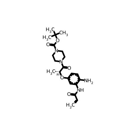 C=CC(=O)Nc1cc(O[C@H](C)C(=O)N2CCN(C(=O)OC(C)(C)C)CC2)ccc1N